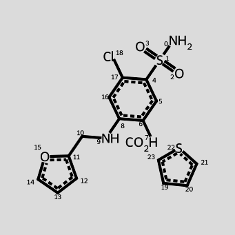 NS(=O)(=O)c1cc(C(=O)O)c(NCc2ccco2)cc1Cl.c1ccsc1